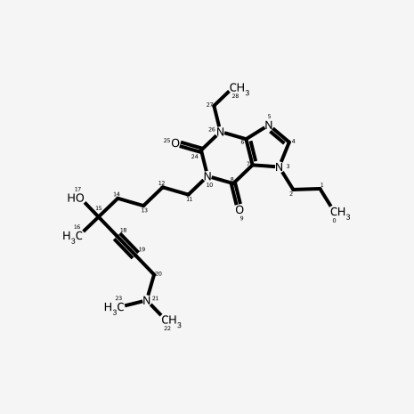 CCCn1cnc2c1c(=O)n(CCCCC(C)(O)C#CCN(C)C)c(=O)n2CC